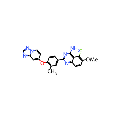 COc1ccc2nc(-c3ccc(Oc4ccn5ncnc5c4)c(C)c3)nc(N)c2c1F